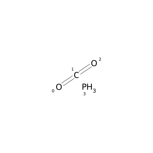 O=C=O.P